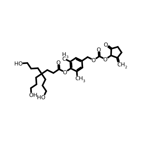 C=C1CCC(=O)C1OC(=O)OCc1cc(C)c(OC(=O)CCC(CCCO)(CCCO)CCCO)c(C)c1